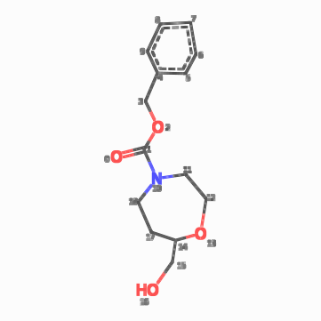 O=C(OCc1ccccc1)N1CCOC(CO)CC1